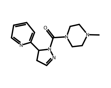 CN1CCN(C(=O)N2N=CCC2c2ccccn2)CC1